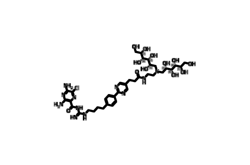 N=C(NCCCCc1ccc(-c2ncc(CCC(=O)NCCN(C[C@H](O)[C@@H](O)[C@H](O)[C@H](O)CO)C[C@H](O)[C@@H](O)[C@H](O)[C@H](O)CO)cn2)cc1)NC(=O)c1nc(Cl)c(N)nc1N